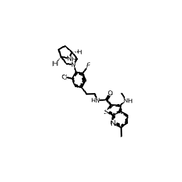 CNc1c(C(=O)NCCc2cc(F)c(N3C[C@H]4CC[C@@H](C3)N4)c(Cl)c2)sc2nc(C)ccc12